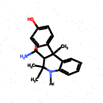 CC(=O)N1c2cc[c]cc2C(C)(c2ccc(O)cc2)C(C(N)=O)C1(C)C